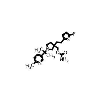 Cc1ccc(C(C)(C)N2CCC(CCc3ccc(F)s3)(COC(N)=O)C2)cn1